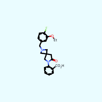 CCOc1cc(CN2CC3(CC(=O)N(c4ccccc4C(=O)O)C3)C2)ccc1F